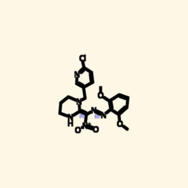 COc1cccc(OC)c1/N=N/C(=C1/NCCCN1Cc1ccc(Cl)nc1)[N+](=O)[O-]